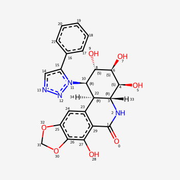 O=C1N[C@H]2[C@H](O)[C@H](O)[C@@H](O)[C@H](n3nncc3-c3ccccc3)[C@@H]2c2cc3c(c(O)c21)OCO3